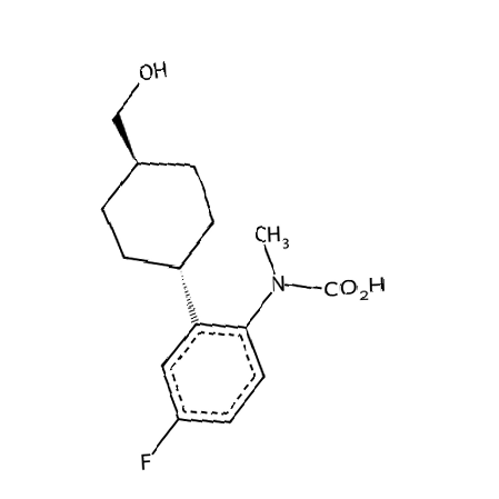 CN(C(=O)O)c1ccc(F)cc1[C@H]1CC[C@H](CO)CC1